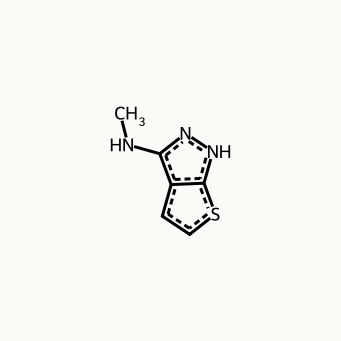 CNc1n[nH]c2sccc12